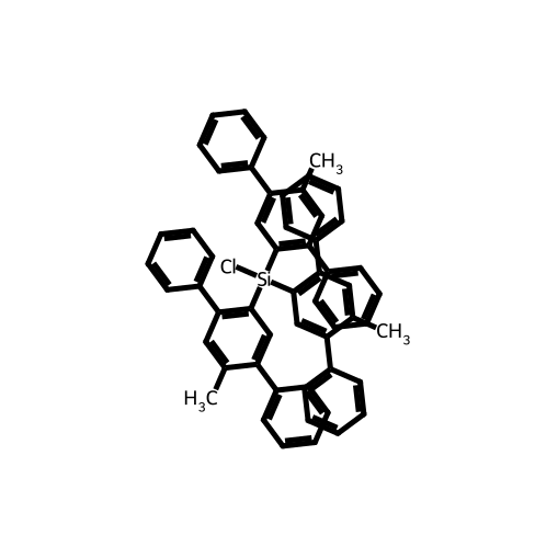 Cc1cc(-c2ccccc2)c([Si](Cl)(c2cc(-c3ccccc3)c(C)cc2-c2ccccc2)c2cc(-c3ccccc3)c(C)cc2-c2ccccc2)cc1-c1ccccc1